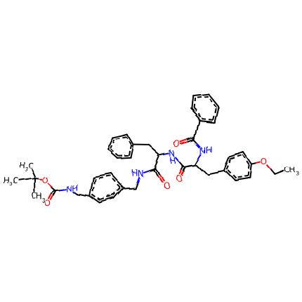 CCOc1ccc(CC(NC(=O)c2ccccc2)C(=O)NC(Cc2ccccc2)C(=O)NCc2ccc(CNC(=O)OC(C)(C)C)cc2)cc1